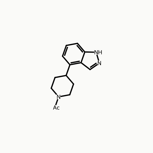 CC(=O)N1CCC(c2cccc3[nH]ncc23)CC1